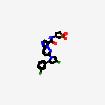 O=C(NC1CCS(=O)(=O)C1)c1cnc2ccc(N3C[C@@H](F)C[C@@H]3c3cccc(F)c3)nn12